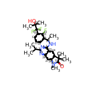 CC(C)c1nc(N[C@H](C)c2cccc(C(F)(F)C(C)(C)O)c2F)c2cc3c(cc2n1)N(C)C(=O)C3(C)C